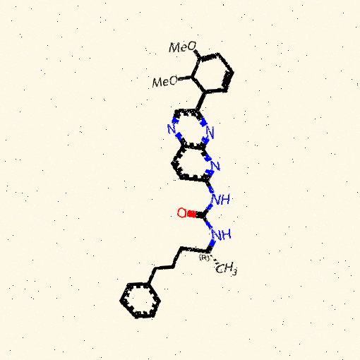 COC1=CC=CC(c2cnc3ccc(NC(=O)N[C@H](C)CCCc4ccccc4)nc3n2)C1OC